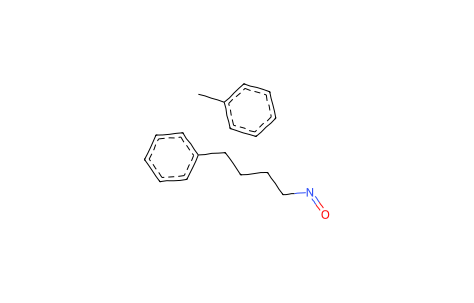 Cc1ccccc1.O=NCCCCc1ccccc1